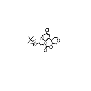 CC(C)(C)[Si](C)(C)OCCN1C(=O)OC2COCCC2c2cc(Cl)cnc21